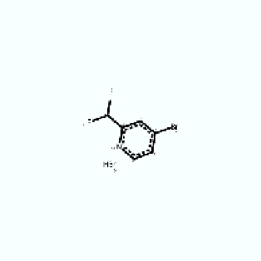 Br.FC(F)c1cc(Br)ccn1